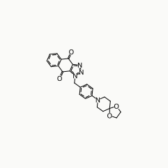 O=C1c2ccccc2C(=O)c2c1nnn2Cc1ccc(N2CCC3(CC2)OCCO3)cc1